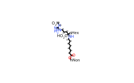 CCCCCCCCCOC(=O)CCCCCCCNC(CCCCCC)(CCCNC(N)=N[N+](=O)[O-])C(=O)O